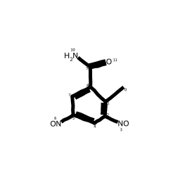 Cc1c(N=O)cc(N=O)cc1C(N)=O